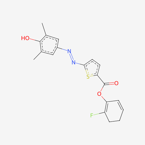 Cc1cc(/N=N/c2ccc(C(=O)OC3=C(F)CCC=C3)s2)cc(C)c1O